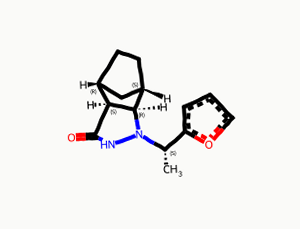 C[C@@H](c1ccco1)N1NC(=O)[C@H]2[C@@H]3CC[C@@H](C3)[C@H]21